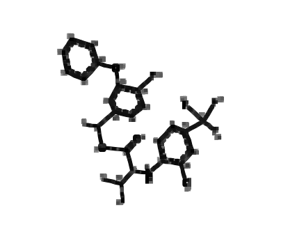 CC(OC(=O)C(Nc1ccc(C(F)(F)F)cc1Cl)C(C)C)c1ccc(F)c(Oc2ccccc2)c1